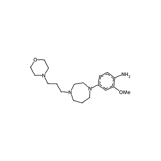 COc1cc(N2CCCN(CCCN3CCOCC3)CC2)ccc1N